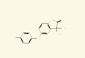 CCCCCCC1(O)C(=O)Nc2ccc(Nc3ccc(F)cc3)cc21